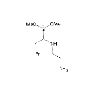 CO[SiH](OC)C(CC(C)C)NCCN